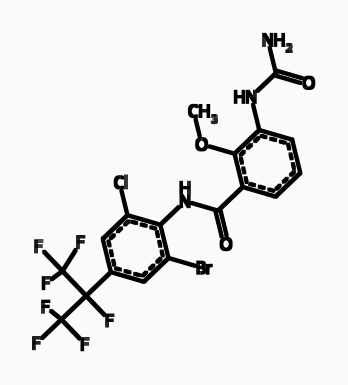 COc1c(NC(N)=O)cccc1C(=O)Nc1c(Cl)cc(C(F)(C(F)(F)F)C(F)(F)F)cc1Br